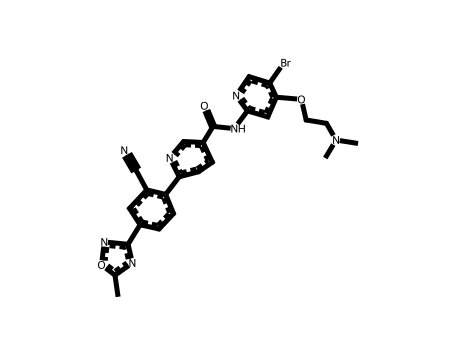 Cc1nc(-c2ccc(-c3ccc(C(=O)Nc4cc(OCCN(C)C)c(Br)cn4)cn3)c(C#N)c2)no1